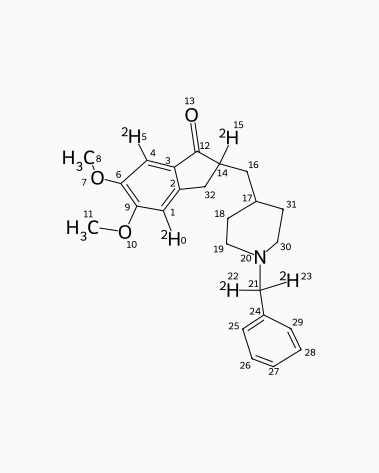 [2H]c1c2c(c([2H])c(OC)c1OC)C(=O)C([2H])(CC1CCN(C([2H])([2H])c3ccccc3)CC1)C2